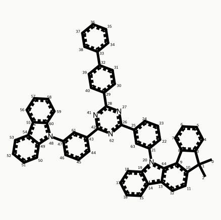 CC1(C)c2ccccc2-c2c1ccc1c3ccccc3n(-c3cccc(-c4nc(-c5ccc(-c6ccccc6)cc5)nc(-c5cccc(-n6c7ccccc7c7ccccc76)c5)n4)c3)c21